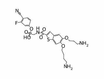 N#Cc1ccc(OP(=O)(O)CNS(=O)(=O)c2cc3cc(OCCCN)c(OCCCCN)cc3s2)cc1F